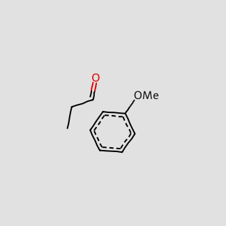 CCC=O.COc1ccccc1